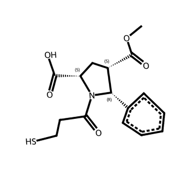 COC(=O)[C@H]1C[C@@H](C(=O)O)N(C(=O)CCS)[C@H]1c1ccccc1